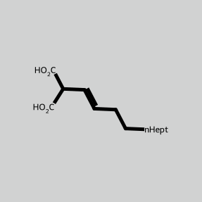 CCCCCCCCC/C=C/C(C(=O)O)C(=O)O